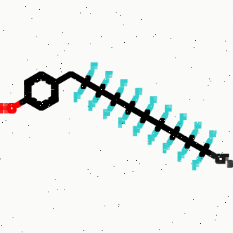 Oc1ccc(CC(F)(F)C(F)(F)C(F)(F)C(F)(F)C(F)(F)C(F)(F)C(F)(F)C(F)(F)C(F)(F)C(F)(F)F)cc1